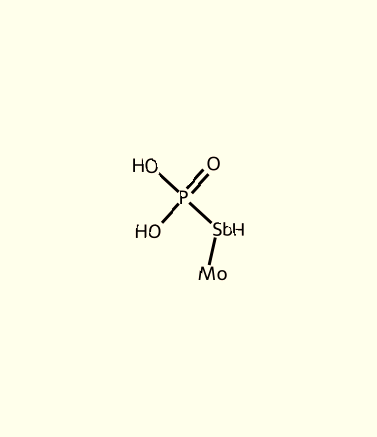 O=[P](O)(O)[SbH][Mo]